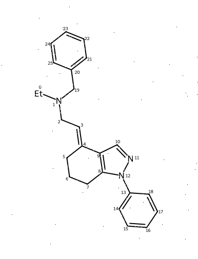 CCN(C/C=C1\CCCc2c1cnn2-c1ccccc1)Cc1ccccc1